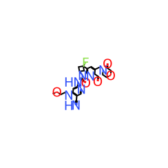 COCCNc1cc(NC(=O)N2c3nc(C=O)c(CN4CCOCC4=O)cc3C3(F)CC2C3)ncc1C#N